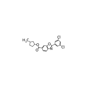 CC1CCC(OC(=O)c2ccc3nc(-c4cc(Cl)cc(Cl)c4)oc3c2)C1